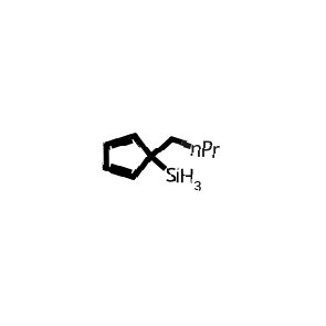 CCCCC1([SiH3])C=CC=C1